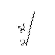 C=C(CCC)C(=O)O.C=C(CCCCCCCCCCCCCCCCCC)C(=O)O